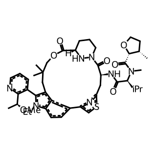 CCn1c(-c2cccnc2[C@H](C)OC)c2c3cc(ccc31)-c1csc(n1)C[C@H](NC(=O)[C@H](C(C)C)N(C)C(=O)[C@@H]1OCC[C@@H]1C)C(=O)N1CCC[C@H](N1)C(=O)OCC(C)(C)C2